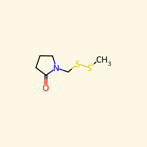 CSSCN1CCCC1=O